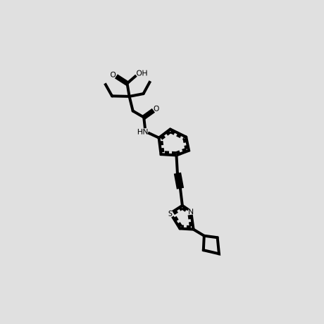 CCC(CC)(CC(=O)Nc1cccc(C#Cc2nc(C3CCC3)cs2)c1)C(=O)O